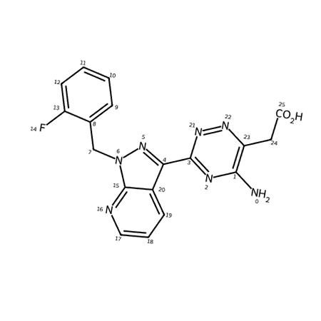 Nc1nc(-c2nn(Cc3ccccc3F)c3ncccc23)nnc1CC(=O)O